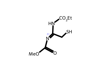 CCOC(=O)N/C(CS)=N/C(=O)OC